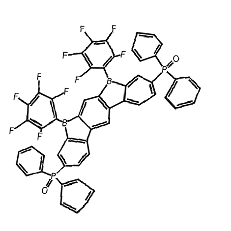 O=P(c1ccccc1)(c1ccccc1)c1ccc2c(c1)B(c1c(F)c(F)c(F)c(F)c1F)c1cc3c(cc1-2)-c1ccc(P(=O)(c2ccccc2)c2ccccc2)cc1B3c1c(F)c(F)c(F)c(F)c1F